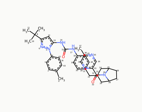 Cc1ccc(-n2nc(C(C)(C)C)cc2NC(=O)Nc2ccc(CC3CC4CCC(C3)N4C(=O)c3cnc(C)cn3)cc2)cc1